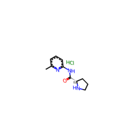 Cc1cccc(NC(=O)[C@@H]2CCCN2)n1.Cl